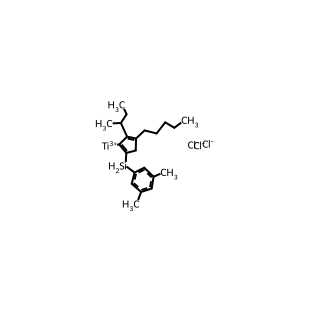 CCCCCC1=C(C(C)CC)[C]([Ti+3])=C([SiH2]c2cc(C)cc(C)c2)C1.[Cl-].[Cl-].[Cl-]